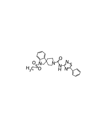 CS(=O)(=O)N1CC2(CCN(C(=O)Nc3nsc(-c4ccccc4)n3)CC2)c2ccccc21